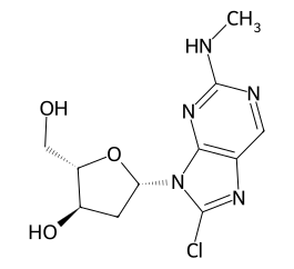 CNc1ncc2nc(Cl)n([C@@H]3C[C@@H](O)[C@H](CO)O3)c2n1